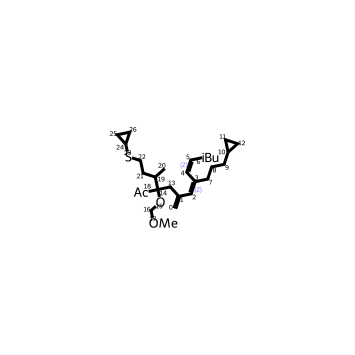 C=C(/C=C(\C=C/C(C)CC)CCCC1CC1)CC(OCOC)(C(C)=O)C(C)CCSC1CC1